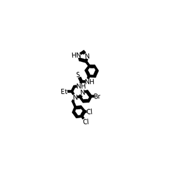 CCC(CNC(=S)Nc1cccc(-c2c[nH]cn2)c1)N(Cc1ccc(Cl)c(Cl)c1)c1ccc(Br)cn1